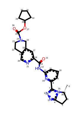 C[C@@H]1CCc2nnc(-c3cccc(NC(=O)c4cc5c(cn4)CCN(C(=O)OC4CCCC4)C5)n3)n21